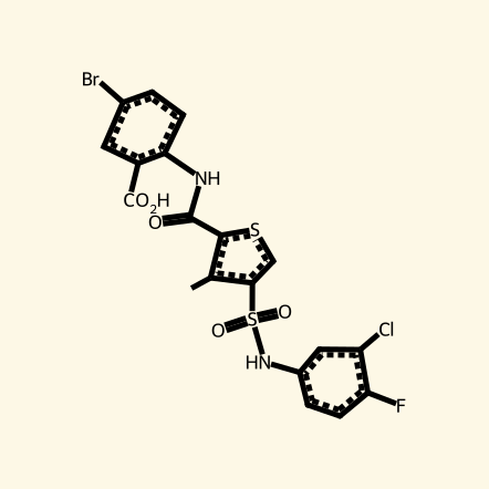 Cc1c(S(=O)(=O)Nc2ccc(F)c(Cl)c2)csc1C(=O)Nc1ccc(Br)cc1C(=O)O